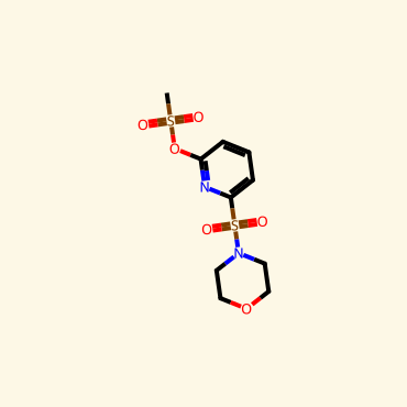 CS(=O)(=O)Oc1cccc(S(=O)(=O)N2CCOCC2)n1